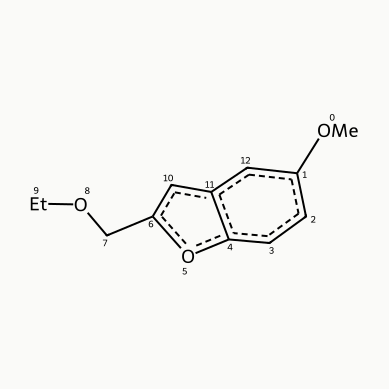 [CH2]Oc1ccc2oc(COCC)cc2c1